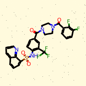 O=C(c1ccc(NS(=O)(=O)c2cccc3cccnc23)c(C(F)(F)F)c1)N1CCN(C(=O)c2cccc(F)c2F)CC1